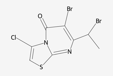 CC(Br)c1nc2scc(Cl)n2c(=O)c1Br